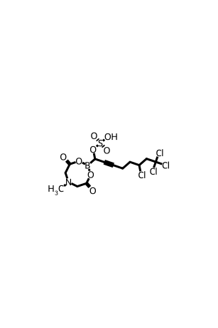 CN1CC(=O)OB(C(C#CCCC(Cl)CC(Cl)(Cl)Cl)OS(=O)(=O)O)OC(=O)C1